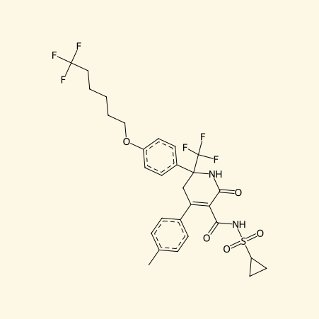 Cc1ccc(C2=C(C(=O)NS(=O)(=O)C3CC3)C(=O)NC(c3ccc(OCCCCCC(F)(F)F)cc3)(C(F)(F)F)C2)cc1